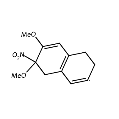 COC1=CC2=C(C=[C]CC2)CC1(OC)[N+](=O)[O-]